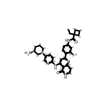 CCC1(C(=O)Nc2ccc(-c3cc(Nc4ccc(N5CCC[C@H](N)C5)cn4)c4c(=O)[nH]ccc4n3)c(F)c2)CCC1